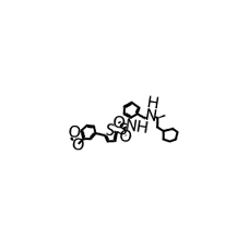 C[C@@H](CC1CCCCC1)NCc1ccccc1NS(=O)(=O)c1ccc(-c2ccc3c(c2)OCO3)s1